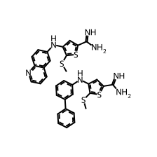 CSc1sc(C(=N)N)cc1Nc1ccc2ncccc2c1.CSc1sc(C(=N)N)cc1Nc1cccc(-c2ccccc2)c1